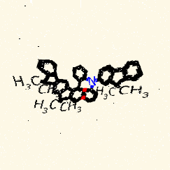 CC1(C)c2ccccc2-c2ccc(N(c3ccccc3)c3ccccc3-c3cccc4c3-c3cc5c(cc3C4(C)C)C(C)(C)c3ccccc3-5)cc21